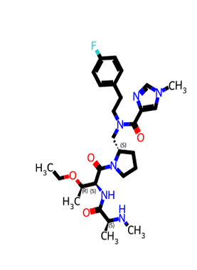 CCO[C@H](C)[C@H](NC(=O)[C@H](C)NC)C(=O)N1CCC[C@H]1CN(CCc1ccc(F)cc1)C(=O)c1cn(C)cn1